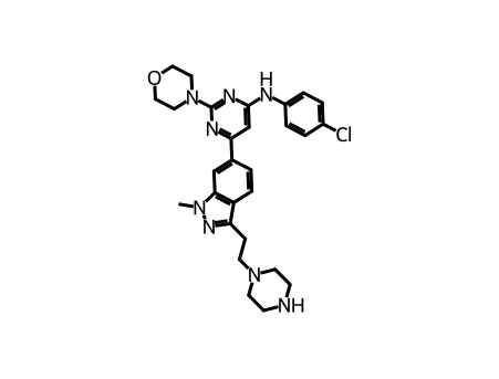 Cn1nc(CCN2CCNCC2)c2ccc(-c3cc(Nc4ccc(Cl)cc4)nc(N4CCOCC4)n3)cc21